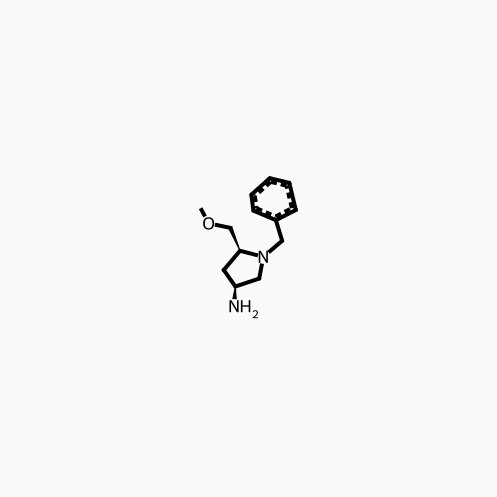 COC[C@@H]1C[C@H](N)CN1Cc1ccccc1